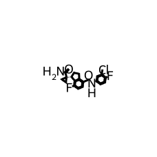 NC(=O)C1([C@@H]2CCc3c(C(=O)Nc4ccc(F)c(Cl)c4)ccc(F)c32)CC1